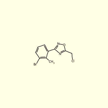 Cc1c(Br)cccc1-c1noc(CCl)n1